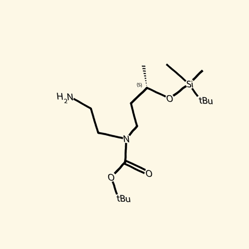 C[C@@H](CCN(CCN)C(=O)OC(C)(C)C)O[Si](C)(C)C(C)(C)C